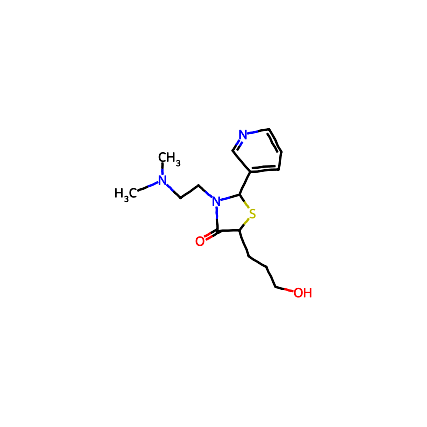 CN(C)CCN1C(=O)C(CCCO)SC1c1cccnc1